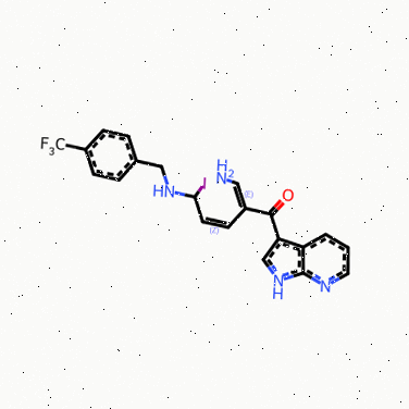 N/C=C(\C=C/C(I)NCc1ccc(C(F)(F)F)cc1)C(=O)c1c[nH]c2ncccc12